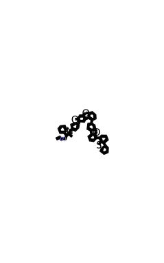 C=C/C=C\c1c(C)n(-c2ccc3c(c2)oc2cc4oc5cccc(-c6ccc7c(c6)oc6c(-c8cccc9c8sc8ccccc89)cccc67)c5c4cc23)c2ccccc12